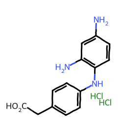 Cl.Cl.Nc1ccc(Nc2ccc(CC(=O)O)cc2)c(N)c1